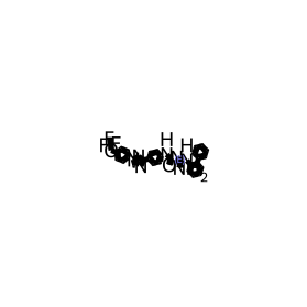 N/C(=N\C(=O)Nc1ccc(-c2ncn(-c3ccc(OC(F)(F)F)cc3)n2)cc1)Nc1ccccc1-c1ccccc1